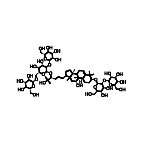 CC(C)(O)[C@@H](CCC[C@H]1CC[C@@]2(C)C3CC=C4[C@@H](CC[C@H](O[C@@H]5O[C@H](CO)[C@@H](O)[C@H](O)[C@H]5O[C@@H]5O[C@H](CO)[C@@H](O)[C@H](O)[C@H]5O)C4(C)C)[C@]3(C)[C@H](O)C[C@]12C)O[C@@H]1O[C@H](CO[C@@H]2O[C@H](CO)[C@@H](O)[C@H](O)[C@H]2O)[C@@H](O)[C@H](O)[C@H]1O[C@@H]1O[C@H](CO)[C@@H](O)[C@H](O)[C@H]1O